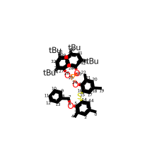 Cc1cc(C)c(OCc2ccccc2)c(Sc2cc(C)cc(C)c2OP(Oc2ccc(C(C)(C)C)cc2C(C)(C)C)Oc2ccc(C(C)(C)C)cc2C(C)(C)C)c1